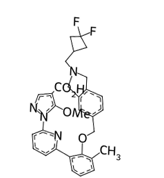 COc1c(C(=O)O)cnn1-c1cccc(-c2cccc(C)c2OCc2ccc3c(c2)CN(CC2CC(F)(F)C2)C3)n1